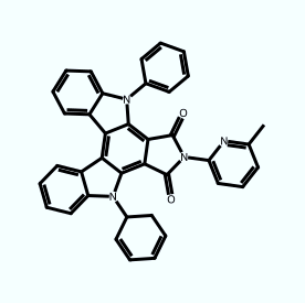 Cc1cccc(N2C(=O)c3c(c4c(c5ccccc5n4C4C=CC=CC4)c4c5ccccc5n(-c5ccccc5)c34)C2=O)n1